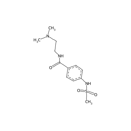 CN(C)CCNC(=O)c1ccc(NS(C)(=O)=O)cc1